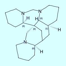 C1CCN2C[C@]34CC(C[C@@H]5CCCN(CN6CCCC[C@@H]63)[C@H]54)[C@H]2C1